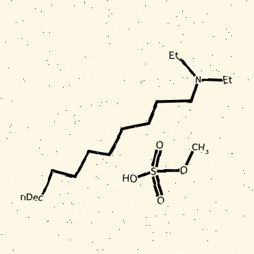 CCCCCCCCCCCCCCCCCCN(CC)CC.COS(=O)(=O)O